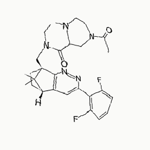 CCN(C[C@@]12CC[C@@H](c3cc(-c4c(F)cccc4F)nnc31)C2(C)C)C(=O)C1CN(C(C)=O)CCN1C